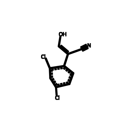 N#CC(=CO)c1ccc(Cl)cc1Cl